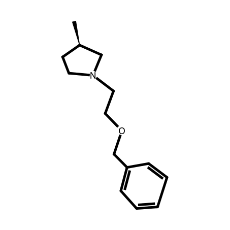 C[C@@H]1CCN(CCOCc2ccccc2)C1